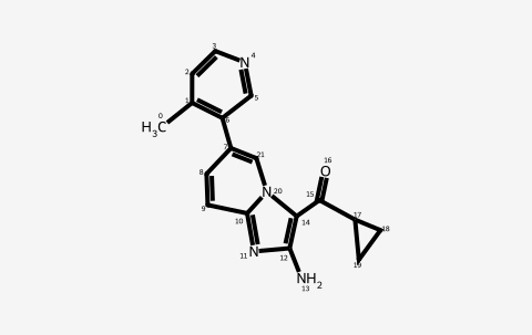 Cc1ccncc1-c1ccc2nc(N)c(C(=O)C3CC3)n2c1